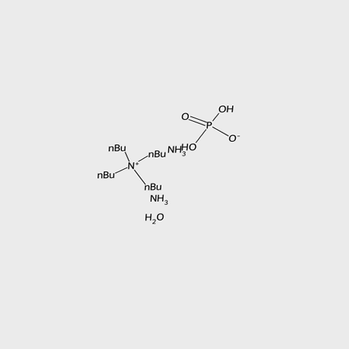 CCCC[N+](CCCC)(CCCC)CCCC.N.N.O.O=P([O-])(O)O